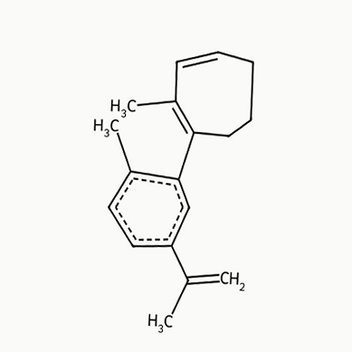 C=C(C)c1ccc(C)c(C2=C(C)C=CCCC2)c1